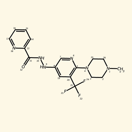 CN1CCN(c2ncc(NNC(=O)c3ccccn3)cc2C(F)(F)F)CC1